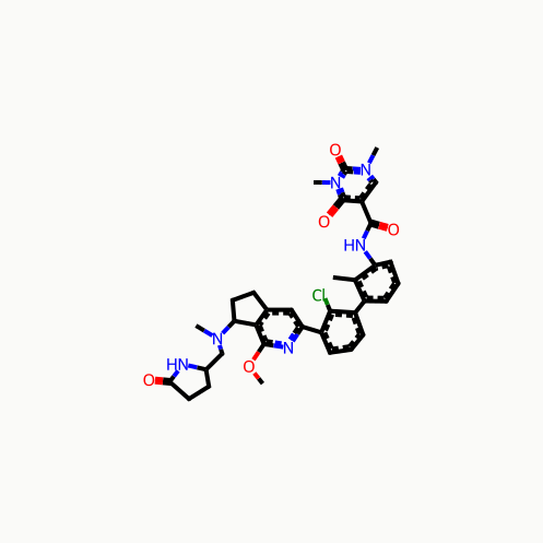 COc1nc(-c2cccc(-c3cccc(NC(=O)c4cn(C)c(=O)n(C)c4=O)c3C)c2Cl)cc2c1C(N(C)CC1CCC(=O)N1)CC2